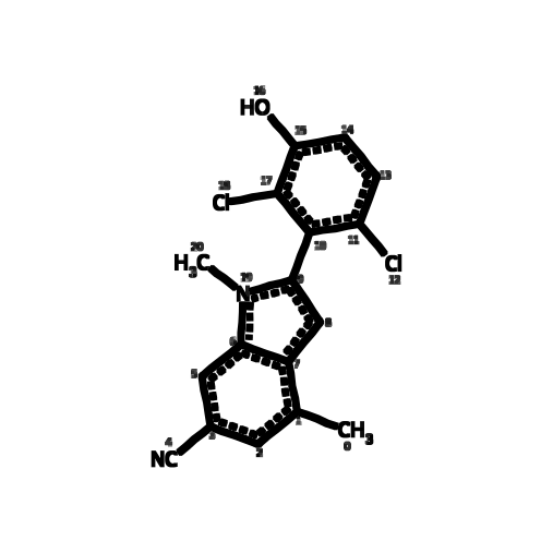 Cc1cc(C#N)cc2c1cc(-c1c(Cl)ccc(O)c1Cl)n2C